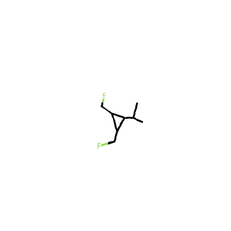 CC(C)C1C(CF)C1CF